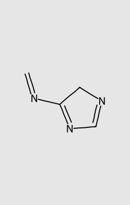 C=NC1=NC=NC1